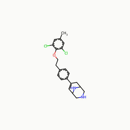 Cc1cc(Cl)c(OCCc2ccc(C3=CC4CNCC(C3)N4)cc2)c(Cl)c1